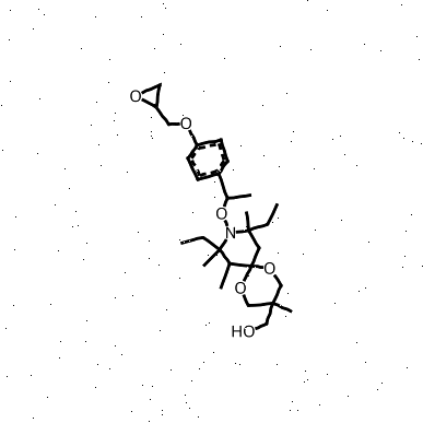 CCC1(C)CC2(OCC(C)(CO)CO2)C(C)C(C)(CC)N1OC(C)c1ccc(OCC2CO2)cc1